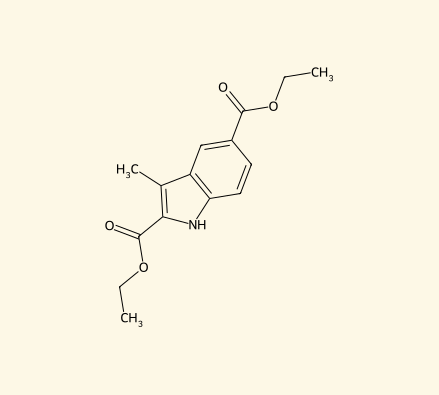 CCOC(=O)c1ccc2[nH]c(C(=O)OCC)c(C)c2c1